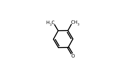 CC1=CC(=O)C=CC1C